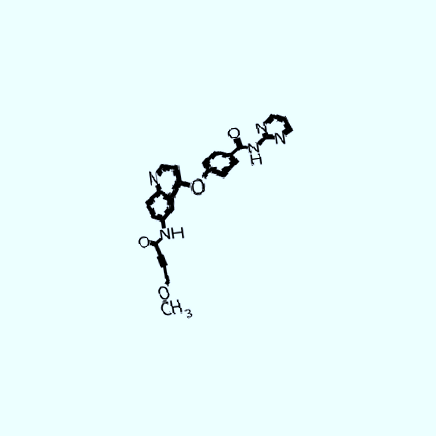 COCC#CC(=O)Nc1ccc2nccc(Oc3ccc(C(=O)Nc4ncccn4)cc3)c2c1